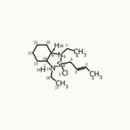 C/C=C/C[Si]1(Cl)N(CC)[C@H]2CCCC[C@@H]2N1CC